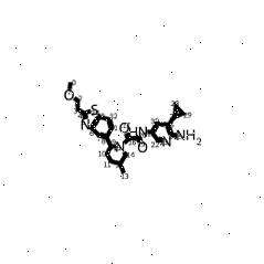 COCCc1nc2cc(C3CCC(C)CN3C(=O)C(=O)Nc3cnc(N)c(C4CC4)c3)ccc2s1